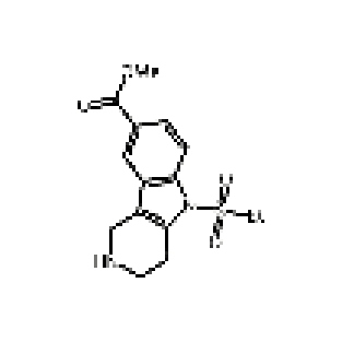 CCS(=O)(=O)n1c2c(c3cc(C(=O)OC)ccc31)CNCC2